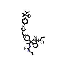 C=C/C=C(F)\C=C(/C)[C@](C#N)(C1CCN(CC2CN(c3ccc(S(=O)(=O)C(C)C)cc3)C2)CC1)[C@H]1CCC[C@@H]1NC(=O)C=C